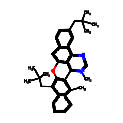 Cc1c2c(c(CC(C)(C)C)c3ccccc13)Oc1cc3ccc(CC(C)(C)C)cc3c3nc[n+](C)c-2c13